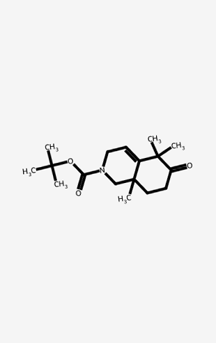 CC(C)(C)OC(=O)N1CC=C2C(C)(CCC(=O)C2(C)C)C1